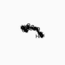 O=C(CC[C@@H](NC(=O)[C@H]1CCCN1S(=O)(=O)c1ccccc1)C(=O)O)N[C@H]1CCN(C(=O)CCCc2ccc3c(n2)NCCC3)C1